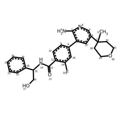 CC1(c2cnc(N)c(-c3ccc(C(=O)NC(CO)c4ccccc4)c(F)c3)c2)CCOCC1